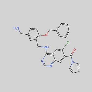 NCc1ccc(OCc2ccccc2)c(CNc2ncnc3cc(C(=O)n4cccc4)c(Cl)cc23)c1